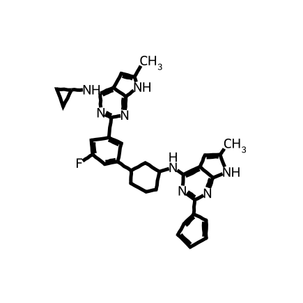 Cc1cc2c(NC3CC3)nc(-c3cc(F)cc(C4CCCC(Nc5nc(-c6ccccc6)nc6[nH]c(C)cc56)C4)c3)nc2[nH]1